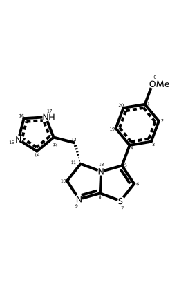 COc1ccc(C2=CSC3=NC[C@H](Cc4cnc[nH]4)N23)cc1